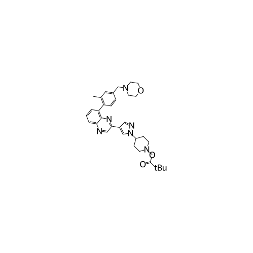 Cc1cc(CN2CCOCC2)ccc1-c1cccc2ncc(-c3cnn(C4CCN(OC(=O)C(C)(C)C)CC4)c3)nc12